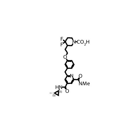 CNC(=O)c1cc(C(=O)N[C@H]2C[C@@H]2C)cc(Cc2cccc(OCCC3CN(C(=O)O)CCC3(F)F)c2)n1